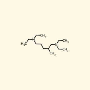 CCN(CC)CCCC(C)CN(CC)CC